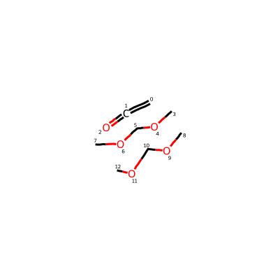 C=C=O.COCOC.COCOC